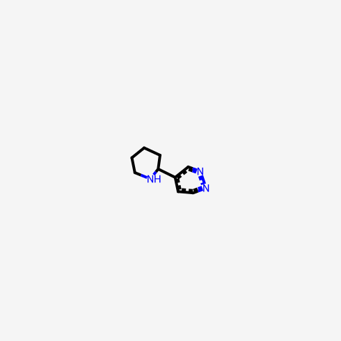 c1cc(C2CCCCN2)cnn1